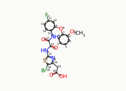 COc1ccccc1Oc1cc(F)ccc1NC(=O)C(=O)Nc1nc(CC(=O)O)c(Br)s1